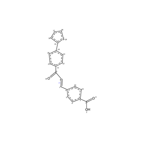 O=C(O)c1ccc(/C=C/C(=O)c2ccc(-c3cccs3)cc2)cc1